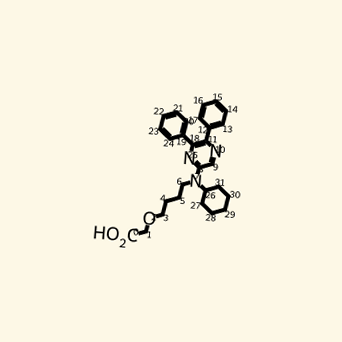 O=C(O)COCCCCN(c1cnc(-c2ccccc2)c(-c2ccccc2)n1)C1CCCCC1